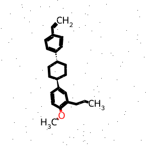 C=Cc1ccc([C@H]2CC[C@H](c3ccc(OC)c(CCC)c3)CC2)cc1